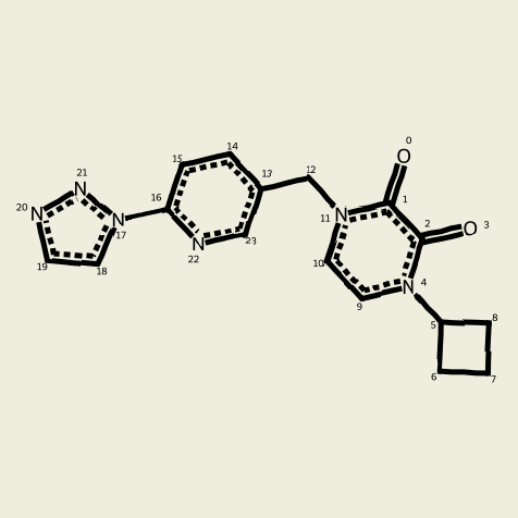 O=c1c(=O)n(C2CCC2)ccn1Cc1ccc(-n2ccnn2)nc1